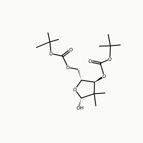 CC(C)(C)OC(=O)OC[C@H]1O[C@@H](O)C(C)(C)[C@@H]1OC(=O)OC(C)(C)C